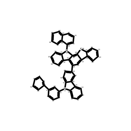 c1ccc(-c2cccc(-n3c4ccccc4c4cc(-c5cc6c7ccccc7sc6c6c5c5ccccc5n6-c5cccc6ccccc56)ccc43)c2)cc1